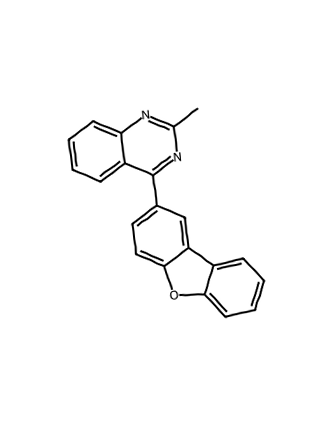 Cc1nc(-c2ccc3oc4ccccc4c3c2)c2ccccc2n1